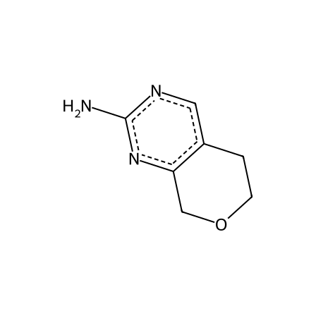 Nc1ncc2c(n1)COCC2